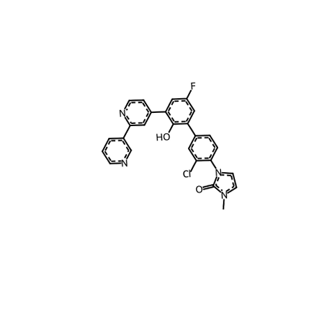 Cn1ccn(-c2ccc(-c3cc(F)cc(-c4ccnc(-c5cccnc5)c4)c3O)cc2Cl)c1=O